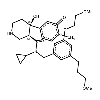 COCCCc1cc(CN(C(=O)[C@H]2CNCC[C@]2(O)c2ccn(C)c(=O)c2)C2CC2)cc(OCCOC)c1